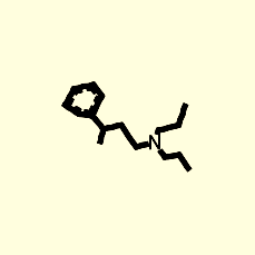 CCCN(CCC)CCC(C)c1ccccc1